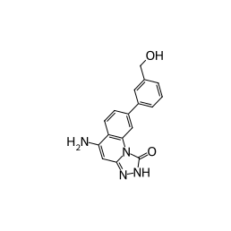 Nc1cc2n[nH]c(=O)n2c2cc(-c3cccc(CO)c3)ccc12